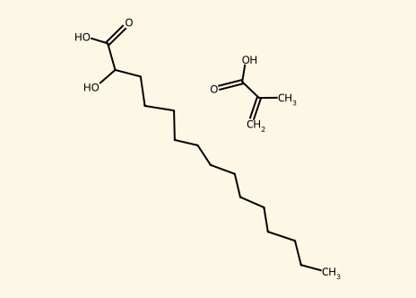 C=C(C)C(=O)O.CCCCCCCCCCCCCC(O)C(=O)O